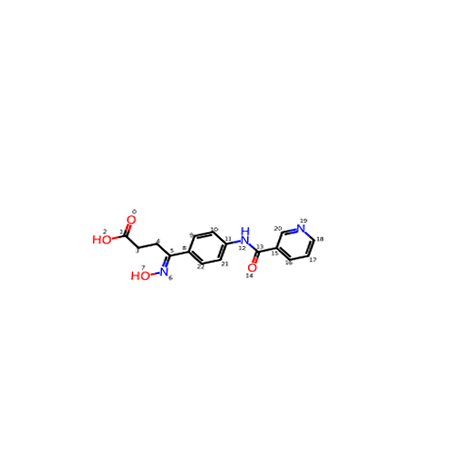 O=C(O)CCC(=NO)c1ccc(NC(=O)c2cccnc2)cc1